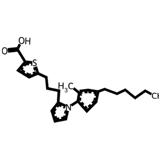 CCCCCCc1ccc(-n2cccc2CCCc2ccc(C(=O)O)s2)c(C)c1